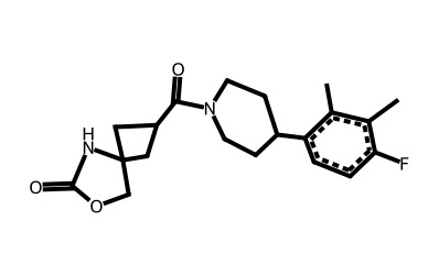 Cc1c(F)ccc(C2CCN(C(=O)C3CC4(COC(=O)N4)C3)CC2)c1C